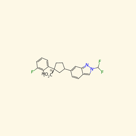 Cc1c(F)cccc1[C@]1(C(=O)O)CCC(c2ccc3cn(C(F)F)nc3c2)C1